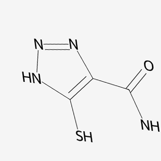 NC(=O)c1nn[nH]c1S